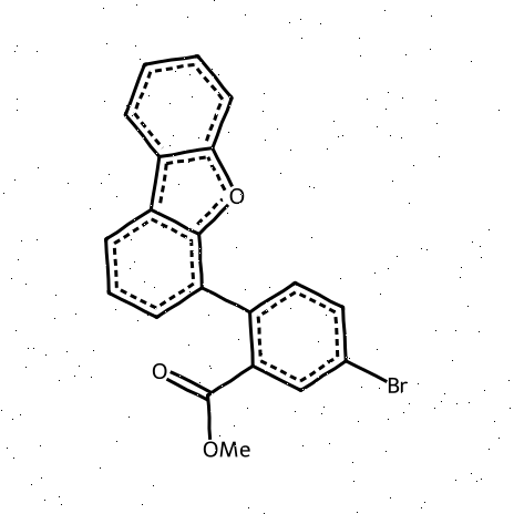 COC(=O)c1cc(Br)ccc1-c1cccc2c1oc1ccccc12